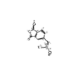 O=C1OC(=O)c2cc(C[SiH](Cl)Cl)ccc21